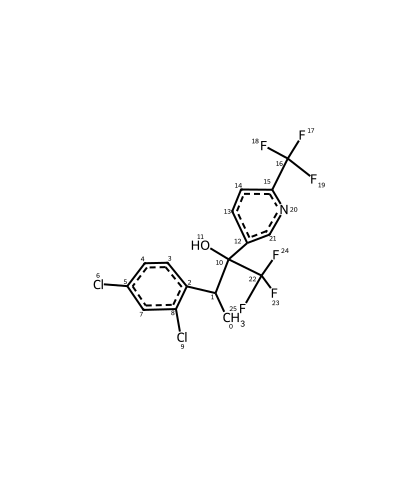 CC(c1ccc(Cl)cc1Cl)C(O)(c1ccc(C(F)(F)F)nc1)C(F)(F)F